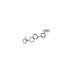 CCOc1cccc(-c2ccc3c(c2)CCC(N2CCCC2C)C3)c1